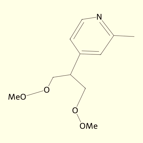 COOCC(COOC)c1ccnc(C)c1